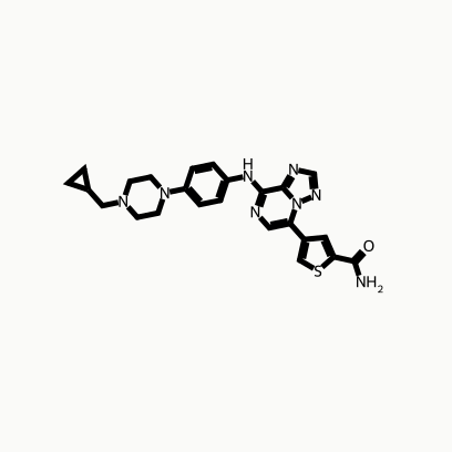 NC(=O)c1cc(-c2cnc(Nc3ccc(N4CCN(CC5CC5)CC4)cc3)c3ncnn23)cs1